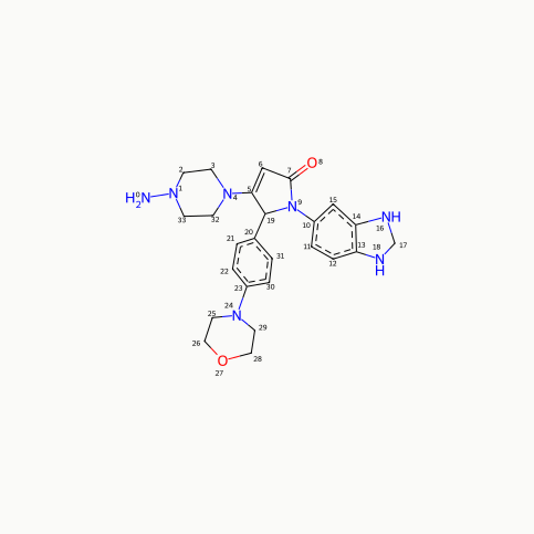 NN1CCN(C2=CC(=O)N(c3ccc4c(c3)NCN4)C2c2ccc(N3CCOCC3)cc2)CC1